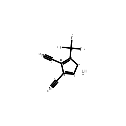 N#CC1=CCC(C(F)(F)F)=C1C#N.[LiH]